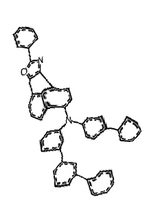 c1ccc(-c2ccc(N(c3cccc(-c4cccc(-c5ccccc5)c4)c3)c3ccc4c5c(cccc35)-c3oc(-c5ccccc5)nc3-4)cc2)cc1